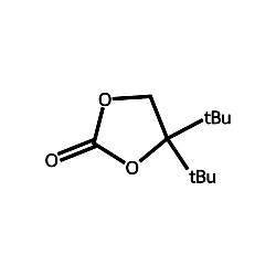 CC(C)(C)C1(C(C)(C)C)COC(=O)O1